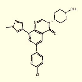 Cn1cc(-c2nc(-c3ccc(Cl)cc3)cc3c(=O)n([C@H]4CC[C@H](O)CC4)cnc23)cn1